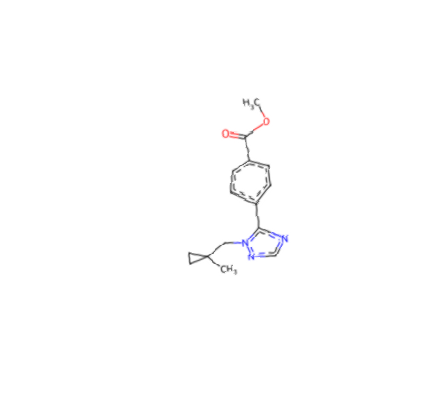 COC(=O)c1ccc(-c2ncnn2CC2(C)CC2)cc1